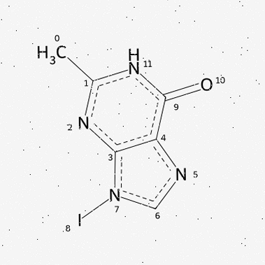 Cc1nc2c(ncn2I)c(=O)[nH]1